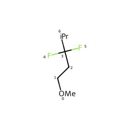 COCCC(F)(F)C(C)C